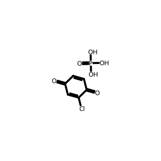 O=C1C=CC(=O)C(Cl)=C1.O=P(O)(O)O